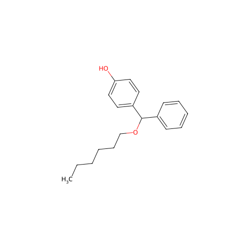 CCCCCCOC(c1ccccc1)c1ccc(O)cc1